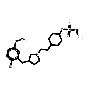 CNS(=O)(=O)NC1CCC(CCN2CCC(Cc3cc(OC)ccc3Br)C2)CC1